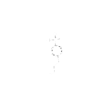 O=S(=O)(Cl)c1ccc(CCCF)cc1